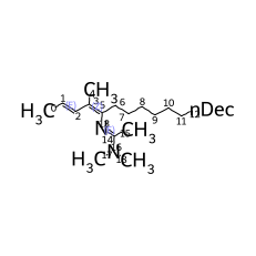 C/C=C/C(C)=C(CCCCCCCCCCCCCCCC)\N=C(/C)N(C)C